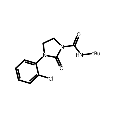 CC(C)(C)NC(=O)N1CCN(c2ccccc2Cl)C1=O